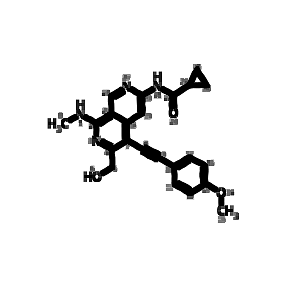 CNc1nc(CO)c(C#Cc2ccc(OC)cc2)c2cc(NC(=O)C3CC3)ncc12